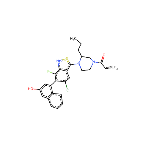 C=CC(=O)N1CCN(c2snc3c(F)c(-c4cc(O)cc5ccccc45)c(Cl)cc23)C(CCC)C1